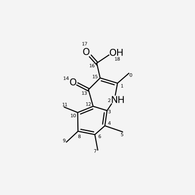 Cc1[nH]c2c(C)c(C)c(C)c(C)c2c(=O)c1C(=O)O